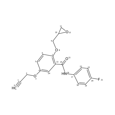 C#CCOc1ccc(OCC2CO2)c(C(=O)Nc2ccc(F)cc2)c1